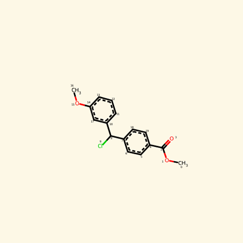 COC(=O)c1ccc(C(Cl)c2cccc(OC)c2)cc1